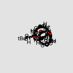 COc1c2cccc1C(=O)NCC1=NCC/N=C3\CNC(=O)c4cccc(c4OC)C(=O)NCCN(CCNC(=O)c4cccc(c4OC)C(=O)NC3CCCCNC(=O)OC(C)(C)C)CCN(CCNC2=O)CCNC(=O)c2cccc(c2OC)C(=O)NC1